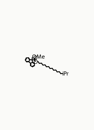 COCC1(C(=O)OCCCCCCCCCCCCCCC(C)C)c2ccccc2-c2ccccc21